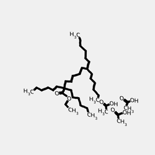 CC(=O)O.CC(=O)O.CC(=O)O.CCCCCCC(CCCCCC)CCCCCC(CCCCCC)(CCCCCC)C(=O)OCC